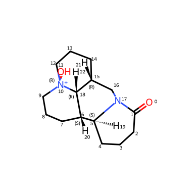 O=C1CCC[C@H]2[C@@H]3CCC[N@+]4(O)CCC[C@H](CN12)[C@H]34